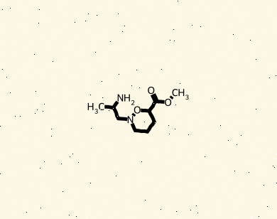 COC(=O)C1CCCN(CC(C)N)O1